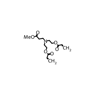 C=CC(=O)OCCN(CCOC(=O)C=C)CCC(=O)OC